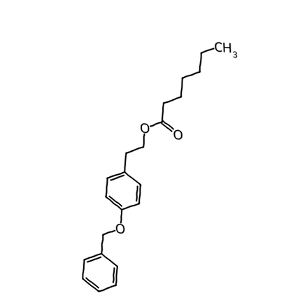 CCCCCCC(=O)OCCc1ccc(OCc2ccccc2)cc1